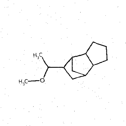 COC(C)C1CC2CC1C1CCCC21